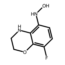 ONc1ccc(F)c2c1NCCO2